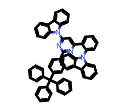 c1ccc(C(c2ccccc2)(c2ccccc2)c2ccc(-c3nc(-c4ccccc4-n4c5ccccc5c5ccccc54)cc(-n4c5ccccc5c5ccccc54)n3)cc2)cc1